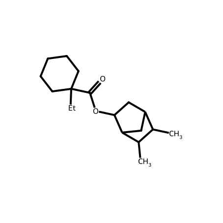 CCC1(C(=O)OC2CC3CC2C(C)C3C)CCCCC1